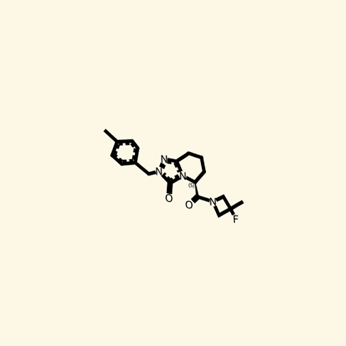 Cc1ccc(Cn2nc3n(c2=O)[C@H](C(=O)N2CC(C)(F)C2)CCC3)cc1